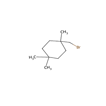 CC1(C)CCC(C)(CBr)CC1